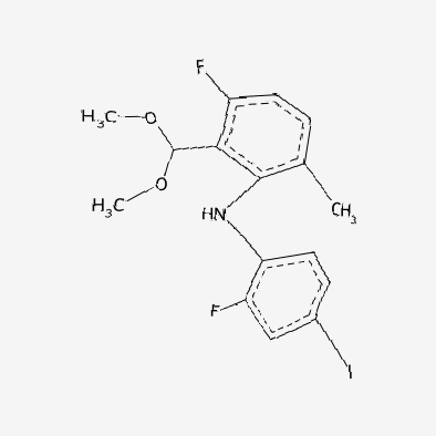 COC(OC)c1c(F)ccc(C)c1Nc1ccc(I)cc1F